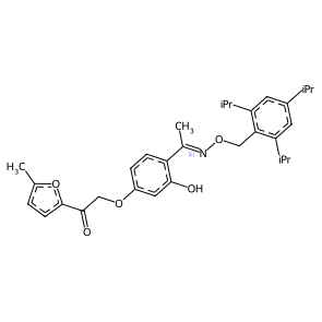 C/C(=N\OCc1c(C(C)C)cc(C(C)C)cc1C(C)C)c1ccc(OCC(=O)c2ccc(C)o2)cc1O